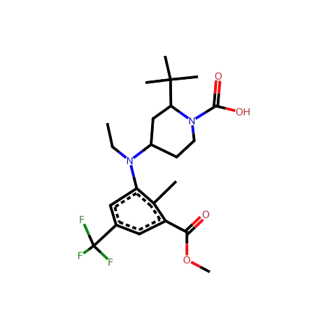 CCN(c1cc(C(F)(F)F)cc(C(=O)OC)c1C)C1CCN(C(=O)O)C(C(C)(C)C)C1